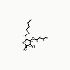 CCCCOC[C@H]1OC(=O)[C@H](Cl)[C@@H]1OCCCC